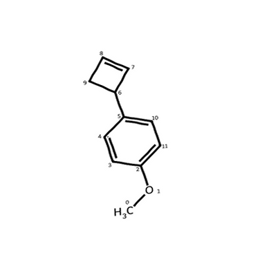 COc1c[c]c(C2C=CC2)cc1